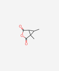 CC1C2C(=O)OC(=O)C12C